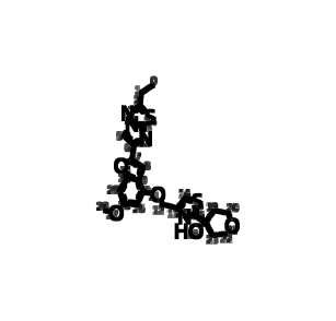 CCc1nn2cc(-c3cc4c(OCc5csc(C6(O)CCOCC6)n5)cc(OC)cc4o3)nc2s1